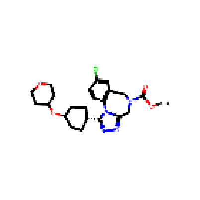 CC(C)(C)OC(=O)N1Cc2cc(Cl)ccc2-n2c(nnc2[C@H]2CC[C@H](OC3CCOCC3)CC2)C1